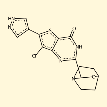 O=c1[nH]c(C2CC3CCN2CC3)nc2c(Cl)c(-c3cn[nH]c3)sc12